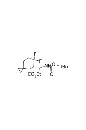 CCOC(=O)C(NC(=O)OC(C)(C)C)[C@@H]1CC2(CC2)CCC1(F)F